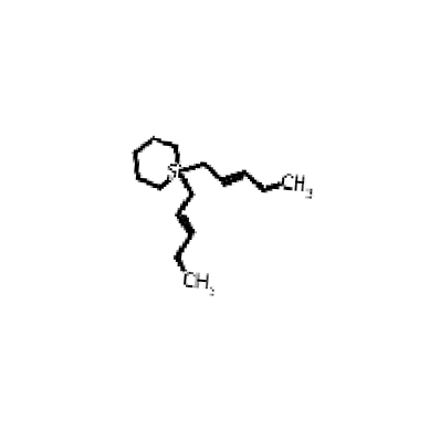 CCC=CC[Si]1(CC=CCC)CCCCC1